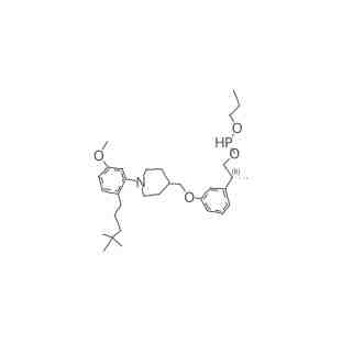 CCCOPOC[C@H](C)c1cccc(OCC2CCN(c3cc(OC)ccc3CCCC(C)(C)C)CC2)c1